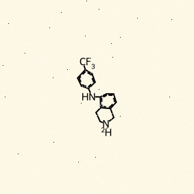 [2H]N1CCc2c(cccc2Nc2ccc(C(F)(F)F)cc2)C1